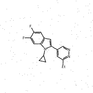 CCc1cc(-c2cc3cc(F)c(F)cc3n2C2CC2)cnn1